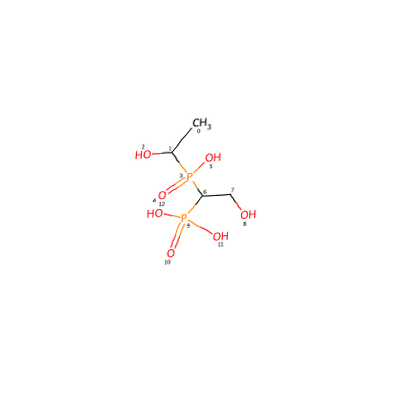 CC(O)P(=O)(O)C(CO)P(=O)(O)O